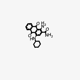 NC(=O)c1cc(NC2CCCCC2)c2c(c1N)C(=O)c1ccccc1C2=O